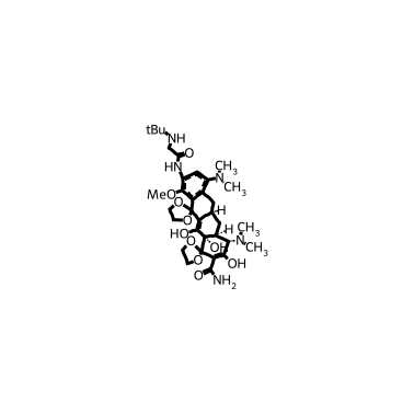 COc1c(NC(=O)CNC(C)(C)C)cc(N(C)C)c2c1C1(OCCO1)C1=C(O)[C@@]3(O)[C@@H](C[C@@H]1C2)[C@H](N(C)C)C(O)=C(C(N)=O)C31OCCO1